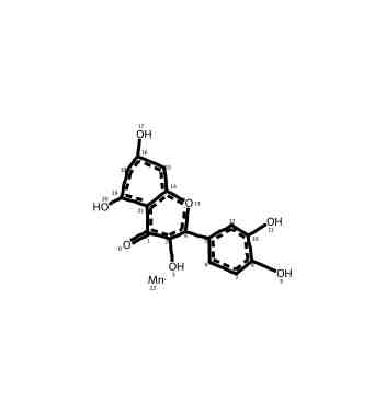 O=c1c(O)c(-c2ccc(O)c(O)c2)oc2cc(O)cc(O)c12.[Mn]